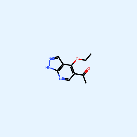 CCOc1c(C(C)=O)cnc2[nH]ncc12